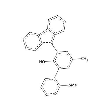 CSc1ccccc1-c1cc(C)cc(-n2c3ccccc3c3ccccc32)c1O